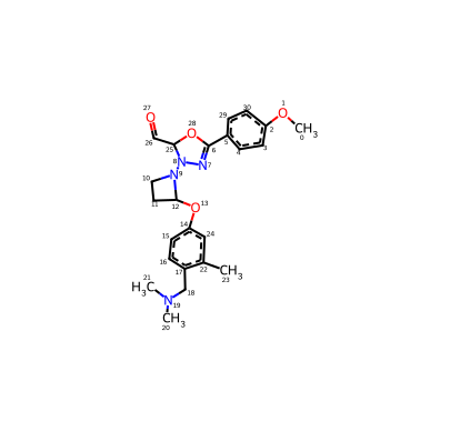 COc1ccc(C2=NN(N3CCC3Oc3ccc(CN(C)C)c(C)c3)C(C=O)O2)cc1